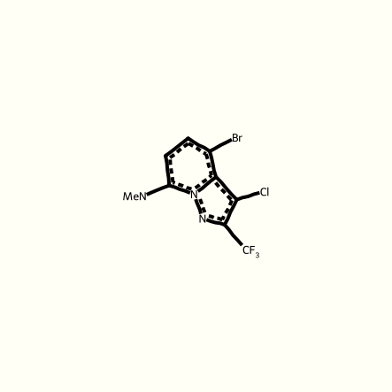 CNc1ccc(Br)c2c(Cl)c(C(F)(F)F)nn12